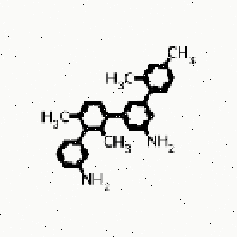 CC1=CC=C(c2cc(N)cc(-c3ccc(C)cc3C)c2)C(C)C1c1cccc(N)c1